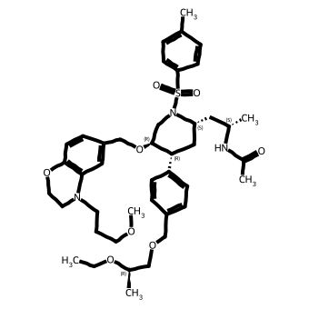 CCO[C@H](C)COCc1ccc([C@H]2C[C@@H](C[C@H](C)NC(C)=O)N(S(=O)(=O)c3ccc(C)cc3)C[C@@H]2OCc2ccc3c(c2)N(CCCOC)CCO3)cc1